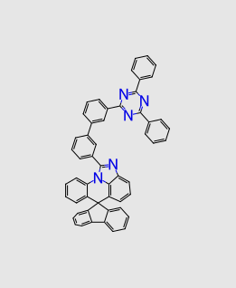 c1ccc(-c2nc(-c3ccccc3)nc(-c3cccc(-c4cccc(-c5nc6cccc7c6n5-c5ccccc5C75c6ccccc6-c6ccccc65)c4)c3)n2)cc1